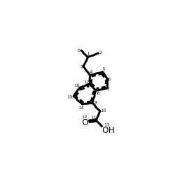 CC(C)Cc1cccc2c(CC(=O)O)cccc12